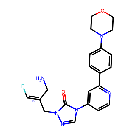 NC/C(=C\F)Cn1ncn(-c2ccnc(-c3ccc(N4CCOCC4)cc3)c2)c1=O